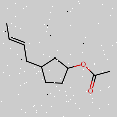 CC=CCC1CCC(OC(C)=O)C1